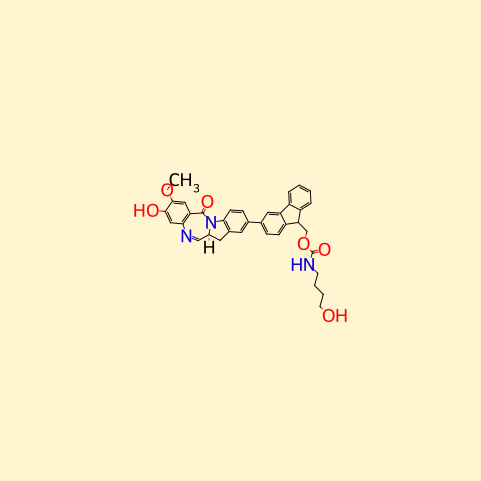 COc1cc2c(cc1O)N=C[C@@H]1Cc3cc(-c4ccc5c(c4)-c4ccccc4C5COC(=O)NCCCCO)ccc3N1C2=O